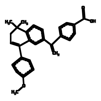 C=C(c1ccc(C(=O)O)cc1)c1ccc2c(c1)C(c1ccc(OC)cc1)=CCC2(C)C